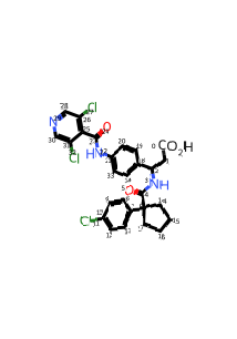 O=C(O)CC(NC(=O)C1(c2ccc(Cl)cc2)CCCC1)c1ccc(NC(=O)c2c(Cl)cncc2Cl)cc1